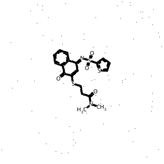 CN(C)C(=O)CCSC1=C/C(=N\S(=O)(=O)c2cccs2)c2ccccc2C1=O